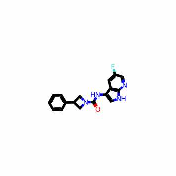 O=C(Nc1c[nH]c2ncc(F)cc12)N1CC(c2ccccc2)C1